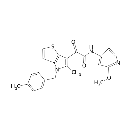 COc1cc(NC(=O)C(=O)c2c(C)n(Cc3ccc(C)cc3)c3ccsc23)ccn1